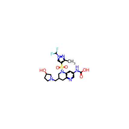 Cc1nn(C(F)F)cc1S(=O)(=O)N1CC(CN2CCC(O)C2)Cc2ncc(NC(=O)O)cc21